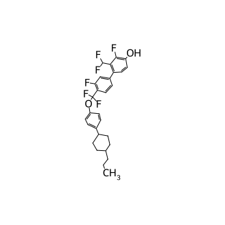 CCCC1CCC(c2ccc(OC(F)(F)c3ccc(-c4ccc(O)c(F)c4C(F)F)cc3F)cc2)CC1